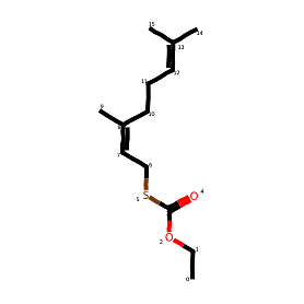 CCOC(=O)SC/C=C(/C)CCC=C(C)C